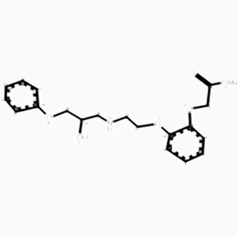 COC(=O)COc1ccccc1OCCNCC(O)COc1ccccc1